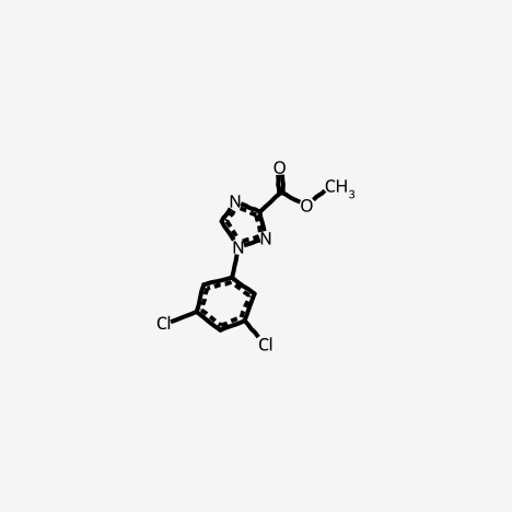 COC(=O)c1ncn(-c2cc(Cl)cc(Cl)c2)n1